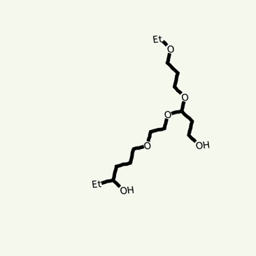 CCOCCCOC(CCO)OCCOCCCC(O)CC